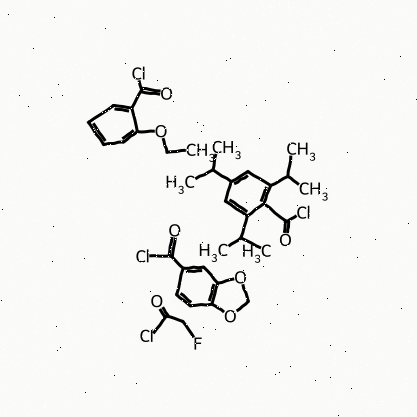 CC(C)c1cc(C(C)C)c(C(=O)Cl)c(C(C)C)c1.CCOc1ccccc1C(=O)Cl.O=C(Cl)CF.O=C(Cl)c1ccc2c(c1)OCO2